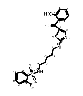 Cc1ccccc1C(=O)c1cnc(NCCCCCNS(=O)(=O)c2ccccc2F)s1